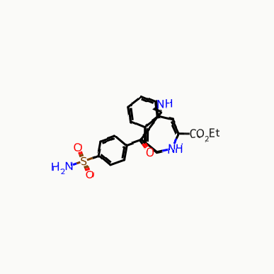 CCOC(=O)C1=CC23C(=CCN1)C=CC=C2NCC3C(=O)c1ccc(S(N)(=O)=O)cc1